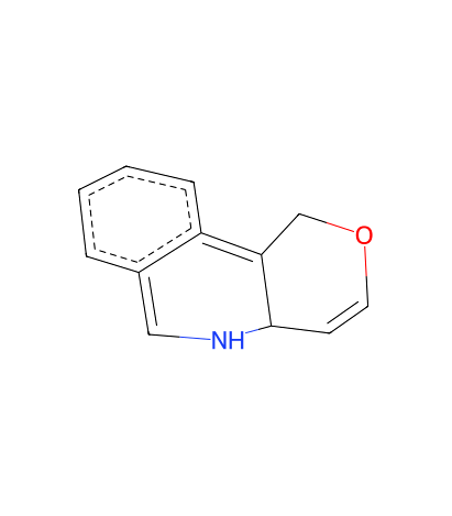 C1=CC2NC=c3ccccc3=C2CO1